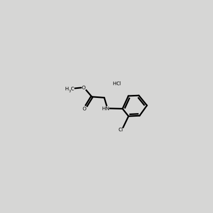 COC(=O)CNc1ccccc1Cl.Cl